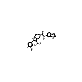 NC(=O)c1c(-c2ccc(F)c(F)c2)nn2c1CN(C(=O)Nc1ccc3ncsc3c1)CC2